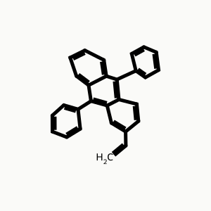 C=Cc1ccc2c(-c3ccccc3)c3ccccc3c(-c3ccccc3)c2c1